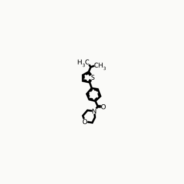 CC(C)c1ccc(-c2ccc(C(=O)N3CCOCC3)cc2)s1